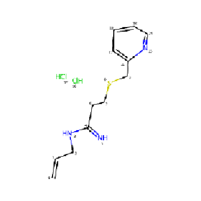 C=CCNC(=N)CCSCc1ccccn1.Cl.Cl